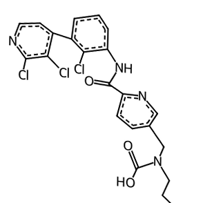 O=C(Nc1cccc(-c2ccnc(Cl)c2Cl)c1Cl)c1ccc(CN(CCO)C(=O)O)cn1